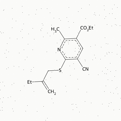 C=C(CC)CSc1nc(C)c(C(=O)OCC)cc1C#N